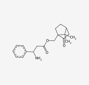 CC1(C)C2CCC1(COC(=O)CC(N)c1ccccc1)C(=O)C2